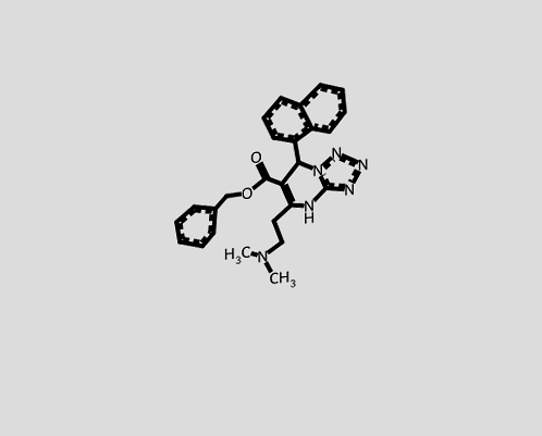 CN(C)CCC1=C(C(=O)OCc2ccccc2)C(c2cccc3ccccc23)n2nnnc2N1